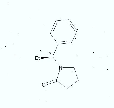 CC[C@@H](c1ccccc1)N1CCCC1=O